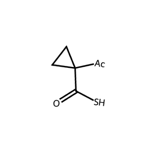 CC(=O)C1(C(=O)S)CC1